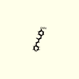 COc1ccc(/C=C(C)/C=C/c2ccncc2)cc1